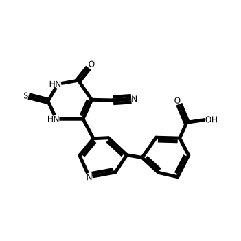 N#Cc1c(-c2cncc(-c3cccc(C(=O)O)c3)c2)[nH]c(=S)[nH]c1=O